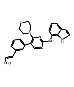 O=C(O)C=Cc1cccc(-c2cnc(Nc3cccc4cc[nH]c34)nc2N2CCOCC2)c1